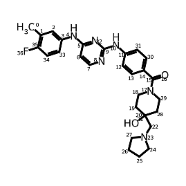 Cc1cc(Nc2ccnc(Nc3ccc(C(=O)N4CCC(O)(CN5CCCC5)CC4)cc3)n2)ccc1F